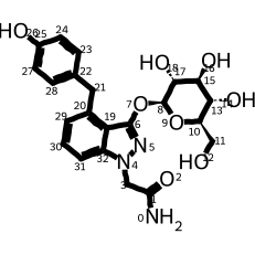 NC(=O)Cn1nc(O[C@@H]2O[C@H](CO)[C@@H](O)[C@H](O)[C@H]2O)c2c(Cc3ccc(O)cc3)cccc21